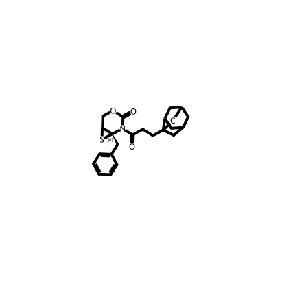 O=C(CCC12CC3CC(CC1C3)C2)N1C(=O)OCC2S[C@]21Cc1ccccc1